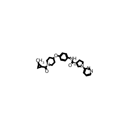 CC1CC1C(=O)N1CCC(Oc2ccc(NC(=O)[C@H]3CCN(c4cccnn4)C3)cc2)CC1